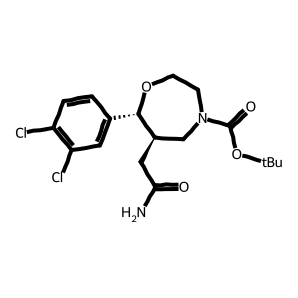 CC(C)(C)OC(=O)N1CCO[C@@H](c2ccc(Cl)c(Cl)c2)[C@H](CC(N)=O)C1